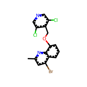 Cc1cc(Br)c2cccc(OCc3c(Cl)cncc3Cl)c2n1